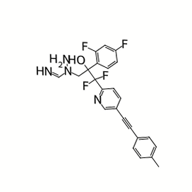 Cc1ccc(C#Cc2ccc(C(F)(F)C(O)(CN(N)C=N)c3ccc(F)cc3F)nc2)cc1